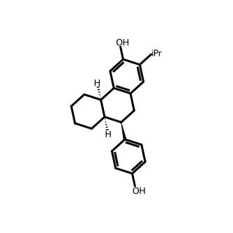 CC(C)c1cc2c(cc1O)[C@@H]1CCCC[C@@H]1[C@H](c1ccc(O)cc1)C2